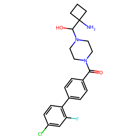 NC1(C(O)N2CCN(C(=O)c3ccc(-c4ccc(Cl)cc4F)cc3)CC2)CCC1